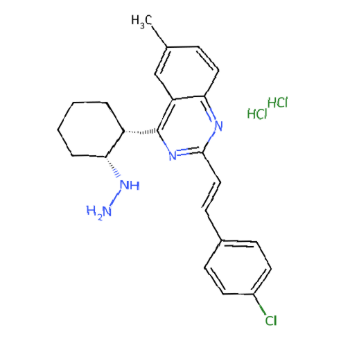 Cc1ccc2nc(C=Cc3ccc(Cl)cc3)nc([C@H]3CCCC[C@H]3NN)c2c1.Cl.Cl